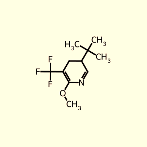 COC1=C(C(F)(F)F)CC(C(C)(C)C)C=N1